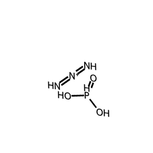 N=[N+]=N.O=[PH](O)O